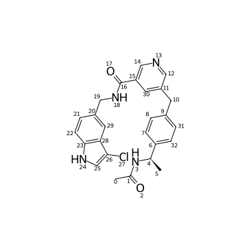 CC(=O)N[C@H](C)c1ccc(Cc2cncc(C(=O)NCc3ccc4[nH]cc(Cl)c4c3)c2)cc1